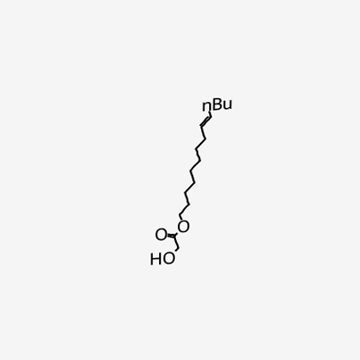 CCCCC=CCCCCCCCCOC(=O)CO